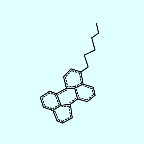 CCCCCCc1ccc2c3cccc4cccc(c5cccc1c52)c43